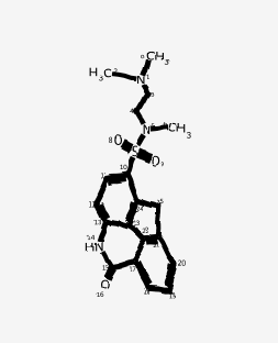 CN(C)CCN(C)S(=O)(=O)c1ccc2[nH]c(=O)c3cccc4c3c2c1C4